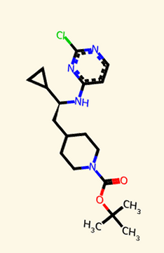 CC(C)(C)OC(=O)N1CCC(C[C@H](Nc2ccnc(Cl)n2)C2CC2)CC1